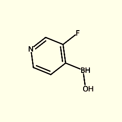 OBc1ccncc1F